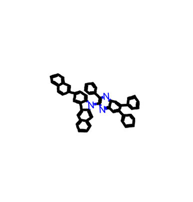 c1ccc(-c2cc3nc(-c4ccccc4)c(-n4c5ccc(-c6ccc7ccccc7c6)cc5c5cc6ccccc6cc54)nc3cc2-c2ccccc2)cc1